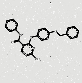 Nc1ncc(C(=O)Nc2ccccc2)c(Oc2ccc(OCc3ccccc3)cc2)n1